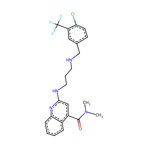 CN(C)C(=O)c1cc(NCCCNCc2ccc(Cl)c(C(F)(F)F)c2)nc2ccccc12